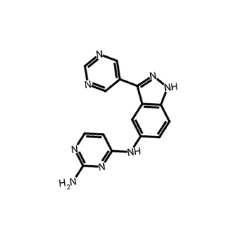 Nc1nccc(Nc2ccc3[nH]nc(-c4cncnc4)c3c2)n1